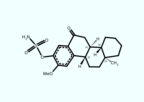 COc1cc2c(cc1OS(N)(=O)=O)C(=O)C[C@@H]1[C@@H]2CC[C@]2(C)CCCC[C@@H]12